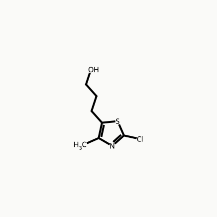 Cc1nc(Cl)sc1CCCO